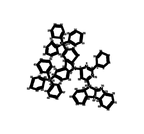 c1ccc(-c2nc(-n3c4ccc([Si](c5ccccc5)(c5ccccc5)c5ccccc5)cc4c4cc([Si](c5ccccc5)(c5ccccc5)c5ccccc5)ccc43)cc(-n3c4ccccc4n4c5ccccc5nc34)n2)cc1